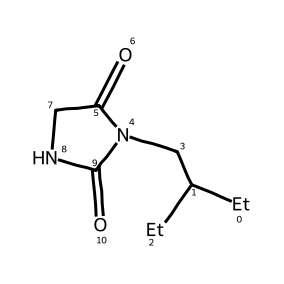 CCC(CC)CN1C(=O)CNC1=O